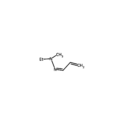 C=C/C=N\N(C)CC